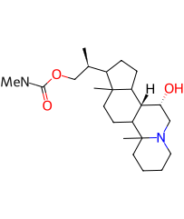 CNC(=O)OC[C@@H](C)C1CCC2[C@H]3C(CCC21C)C1(C)CCCCN1C[C@H]3O